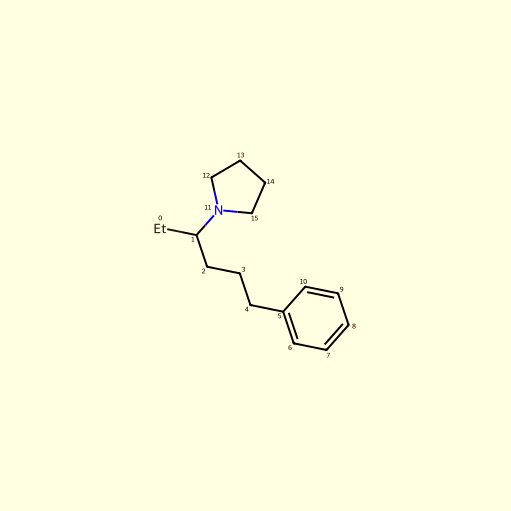 [CH2]CC(CCCc1ccccc1)N1CCCC1